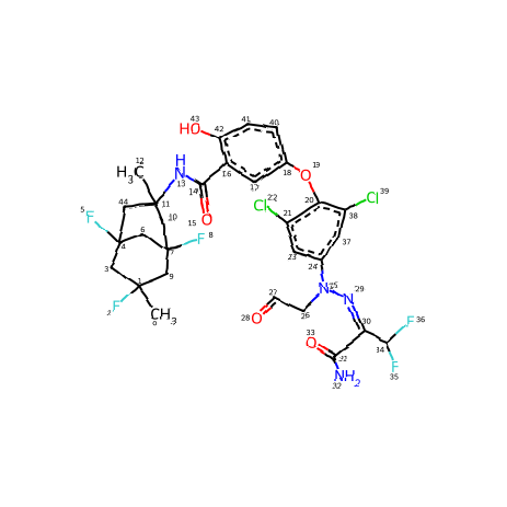 CC1(F)CC2(F)CC(F)(C1)CC(C)(NC(=O)c1cc(Oc3c(Cl)cc(N(CC=O)/N=C(\C(N)=O)C(F)F)cc3Cl)ccc1O)C2